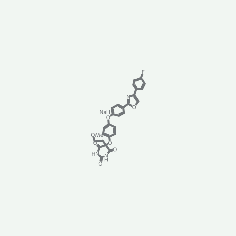 COCCC1(Oc2ccc(Oc3ccc(-c4nc(-c5ccc(F)cc5)co4)cc3)cc2)C(=O)NC(=O)NC1=O.[NaH]